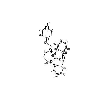 CN1CCC(CCN2CCCn3c4ccccc4c4nc5ccccc5c2c43)CC1